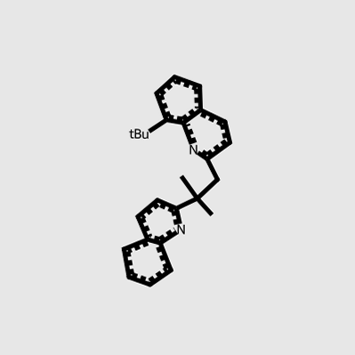 CC(C)(C)c1cccc2ccc(CC(C)(C)c3ccc4ccccc4n3)nc12